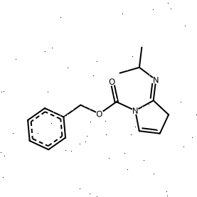 CC(C)/N=C1/CC=CN1C(=O)OCc1ccccc1